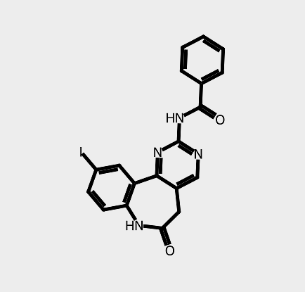 O=C1Cc2cnc(NC(=O)c3ccccc3)nc2-c2cc(I)ccc2N1